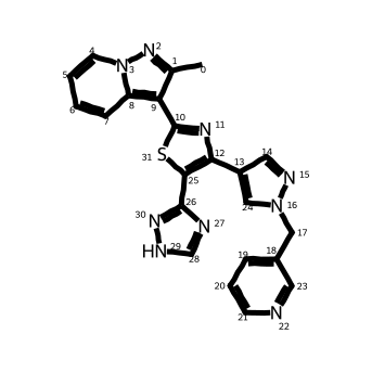 Cc1nn2ccccc2c1-c1nc(-c2cnn(Cc3cccnc3)c2)c(-c2nc[nH]n2)s1